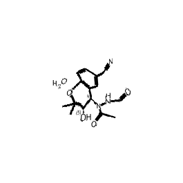 CC(=O)N(NC=O)[C@@H]1c2cc(C#N)ccc2OC(C)(C)[C@H]1O.O